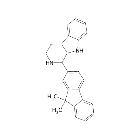 CC1(C)c2ccccc2-c2ccc(C3NCCC4c5ccccc5NC43)cc21